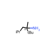 CC(C)C[C@](C)(N)C(C)(C)C